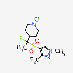 Cn1cc(S(=O)(=O)C(C)(F)C2CCN(Cl)CC2)c(C(F)(F)F)n1